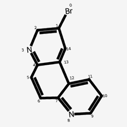 Brc1cnc2ccc3ncccc3c2c1